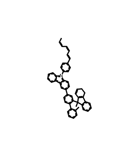 C\C=C/C=C\C=C\c1ccc(-n2c3ccccc3c3cc(-c4ccc(-c5ccccc5C)c(C5(C)C6=C(CCC=C6)c6ccccc65)c4)ccc32)cc1